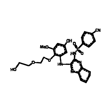 COc1cc(O)cc(Nc2nc3ccccc3nc2NS(=O)(=O)c2ccc(C#N)cc2)c1OCCOCCO